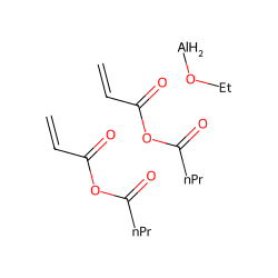 C=CC(=O)OC(=O)CCC.C=CC(=O)OC(=O)CCC.CC[O][AlH2]